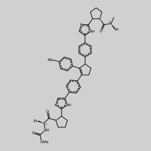 COC(=O)N[C@H](C(=O)N1CCCC1c1ncc(-c2ccc(C3=C(c4ccc(C(C)(C)C)cc4)C(c4ccc(-c5cnc(C6CCCN6C(=O)[C@@H](C)C(C)C)[nH]5)cc4)CC3)cc2)[nH]1)C(C)C